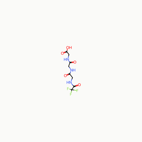 O=C(O)CNC(=O)CNC(=O)CNC(=O)C(F)(F)F